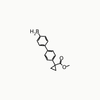 Bc1ccc(-c2ccc(C3(C(=O)OC)CC3)cc2)cc1